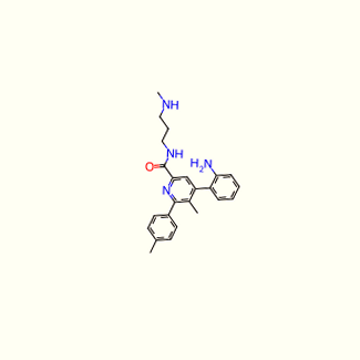 CNCCCNC(=O)c1cc(-c2ccccc2N)c(C)c(-c2ccc(C)cc2)n1